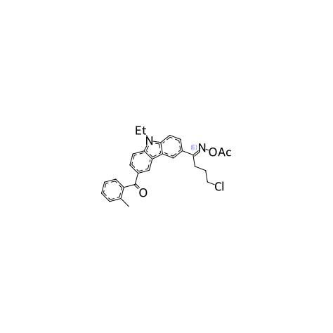 CCn1c2ccc(C(=O)c3ccccc3C)cc2c2cc(/C(CCCCl)=N/OC(C)=O)ccc21